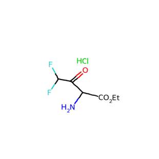 CCOC(=O)C(N)C(=O)C(F)F.Cl